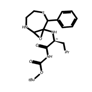 CC(C)C[C@H](NC12OC1NCCSC2c1ccccc1)C(=O)NC(=O)OC(C)(C)C